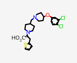 O=C(O)[C@H](Cc1cccs1)N1CCC(CN2CCC(Oc3ccc(Cl)c(Cl)c3)CC2)CC1